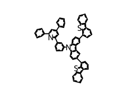 c1ccc(-c2cc(-c3ccccc3)nc(-c3cccc(-n4c5ccc(-c6cccc7c6sc6ccccc67)cc5c5cc(-c6cccc7c6sc6ccccc67)ccc54)c3)c2)cc1